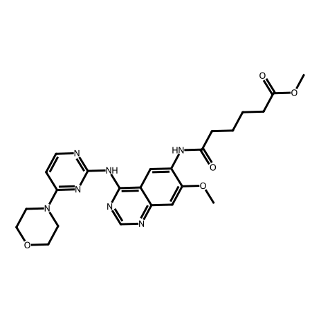 COC(=O)CCCCC(=O)Nc1cc2c(Nc3nccc(N4CCOCC4)n3)ncnc2cc1OC